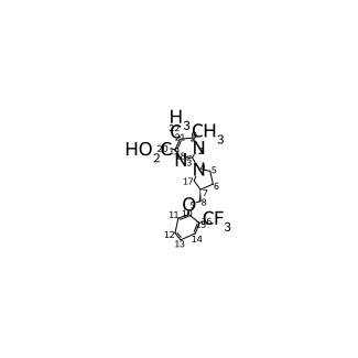 Cc1nc(N2CC[C@@H](COc3ccccc3C(F)(F)F)C2)nc(C(=O)O)c1C